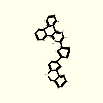 c1cc(-c2ccc3c(c2)-c2ccccc2CS3)cc(-c2cnc3c4ccccc4c4ccccc4c3n2)c1